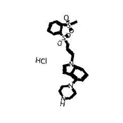 CS(=O)(=O)c1ccccc1S(=O)(=O)CC=Cn1ccc2c(N3CCNCC3)cccc21.Cl